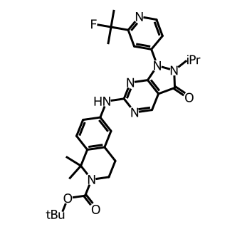 CC(C)n1c(=O)c2cnc(Nc3ccc4c(c3)CCN(C(=O)OC(C)(C)C)C4(C)C)nc2n1-c1ccnc(C(C)(C)F)c1